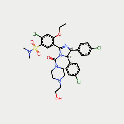 CCOc1cc(Cl)c(S(=O)(=O)N(C)C)cc1C1=N[C@@H](c2ccc(Cl)cc2)[C@@H](c2ccc(Cl)cc2)N1C(=O)N1CCN(CCO)CC1